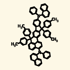 Cc1ccc(C2(c3ccc(C)cc3)c3cc(N(c4ccccc4)c4cccc5ccccc45)ccc3-c3cc4c(cc32)-c2ccc(N(c3ccccc3)c3cccc5ccccc35)c3cccc(c23)C4(c2ccc(C)cc2)c2ccc(C)cc2)cc1